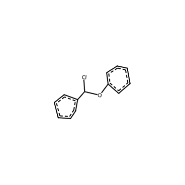 ClC(Oc1ccccc1)c1ccccc1